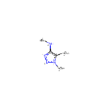 CCCCCCCCc1c(NCCCC)nnn1CCCCCCCC